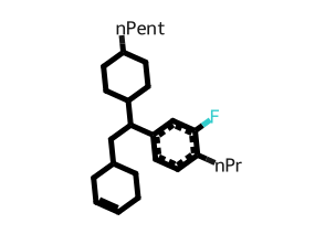 CCCCCC1CCC(C(CC2CC=CCC2)c2ccc(CCC)c(F)c2)CC1